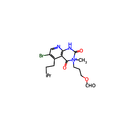 CC(C)CCc1c(Br)cnc2c1C(=O)[N+](C)(CCCOC=O)C(=O)N2